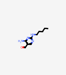 CCCCCNc1ncc(C=O)c(N)n1